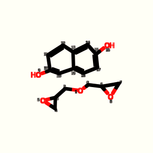 C(OCC1CO1)C1CO1.Oc1ccc2cc(O)ccc2c1